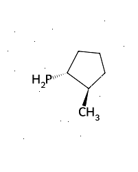 C[C@@H]1CCC[C@H]1P